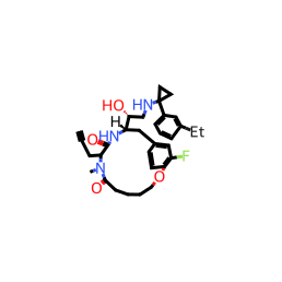 C#CCC1C(=O)N[C@H]([C@H](O)CNC2(c3cccc(CC)c3)CC2)Cc2ccc(c(F)c2)OCCCCC(=O)N1C